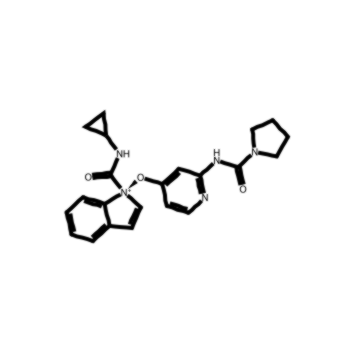 O=C(Nc1cc(O[N@@+]2(C(=O)NC3CC3)C=Cc3ccccc32)ccn1)N1CCCC1